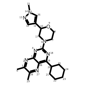 Cc1nc2nc(N3CCOC(c4cnn(C)c4)C3)nc(C3CCCCC3)c2nc1C